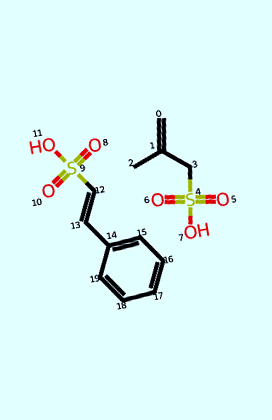 C=C(C)CS(=O)(=O)O.O=S(=O)(O)C=Cc1ccccc1